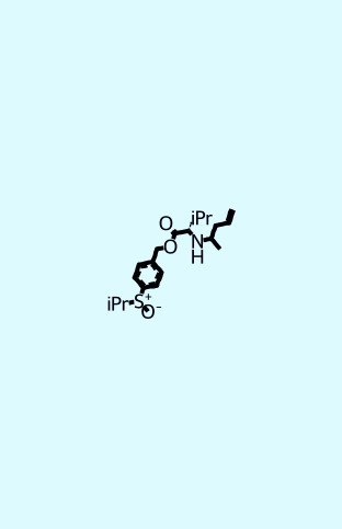 C=CCC(C)N[C@H](C(=O)OCc1ccc([S+]([O-])C(C)C)cc1)C(C)C